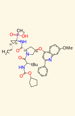 C=C[C@@H]1C[C@]1(NC(=O)[C@@H]1C[C@@H](Oc2cc(-c3ccccc3)nc3cc(OC)ccc23)CN1C(=O)C(NC(=O)OC1CCCC1)C(C)(C)C)P(C)(=O)O